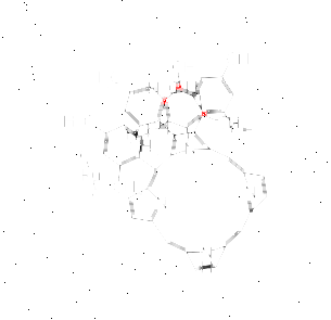 Cc1cc(C)c(-c2c(-c3c(C)cc(C)cc3C)c3c(-c4c(C)cc(C)cc4C)c4nc(cc5ccc(cc6nc(cc2n3-c2c(C)cc(C)cc2C)C=C6)[nH]5)C=C4)c(C)c1.[Cl][Ru][Cl]